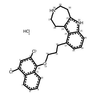 Cl.Clc1cc(Cl)c2ccccc2c1OCCCc1cccc2[nH]c3c(c12)CCNCC3